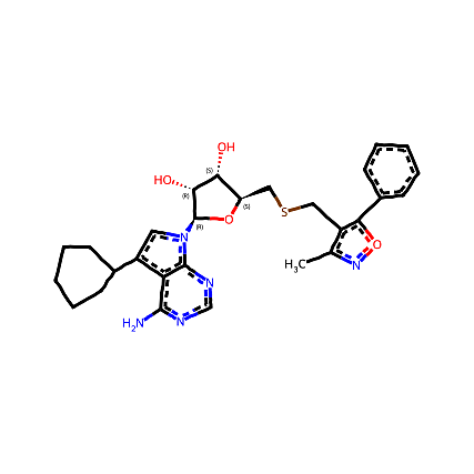 Cc1noc(-c2ccccc2)c1CSC[C@H]1O[C@@H](n2cc(C3CCCCC3)c3c(N)ncnc32)[C@H](O)[C@@H]1O